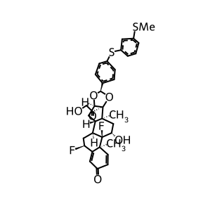 CSc1cccc(Sc2ccc([C@@H]3O[C@@H]4C[C@H]5[C@@H]6C[C@H](F)C7=CC(=O)C=C[C@]7(C)[C@@]6(F)[C@@H](O)C[C@]5(C)[C@]4(C(=O)CO)O3)cc2)c1